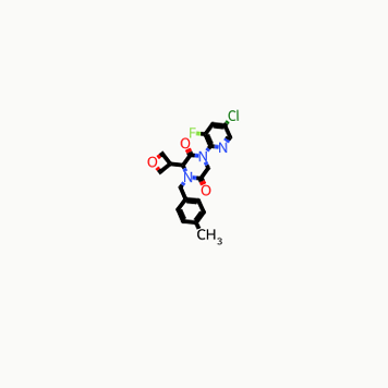 Cc1ccc(CN2C(=O)CN(c3ncc(Cl)cc3F)C(=O)C2C2COC2)cc1